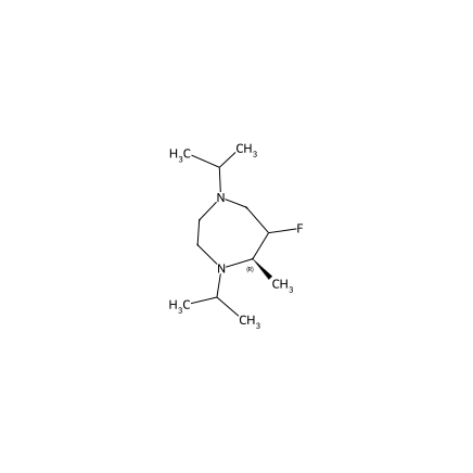 CC(C)N1CCN(C(C)C)[C@H](C)C(F)C1